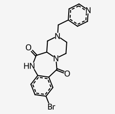 O=C1Nc2ccc(Br)cc2C(=O)N2CCN(Cc3ccncc3)CC12